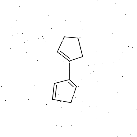 [C]1=C(C2=CCCC2)C=CC1